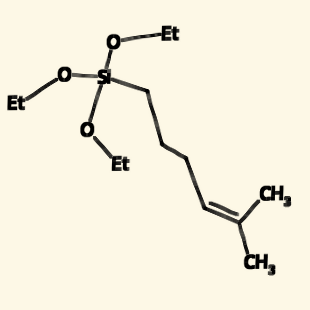 CCO[Si](CCCC=C(C)C)(OCC)OCC